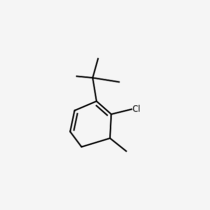 CC1CC=CC(C(C)(C)C)=C1Cl